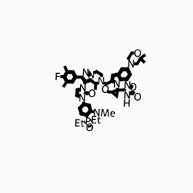 CCP(=O)(CC)c1ccc(-n2ccn(-c3c(-c4cc(C)c(F)c(C)c4)nn4c3C(C)N(C(=O)c3cc5cc(N6CCOC(C)(C)C6)ccc5n3C3(c5noc(=O)[nH]5)CC3C)CC4)c2=O)cc1NC